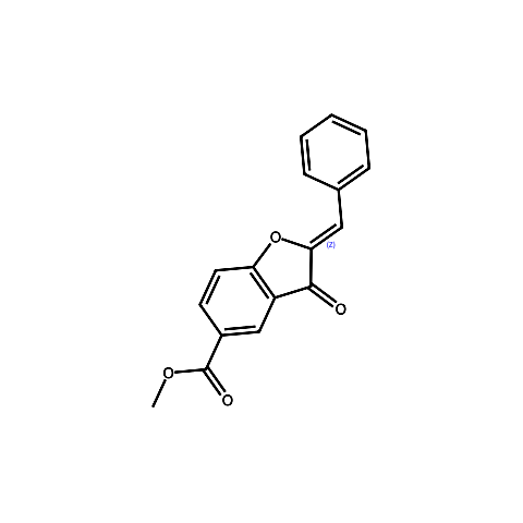 COC(=O)c1ccc2c(c1)C(=O)/C(=C/c1ccccc1)O2